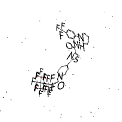 O=C(Nc1cc(C(F)(F)F)ccc1N1CCCC1)c1csc(C2CCN(C(=O)C(F)(F)C(F)(C(F)(F)F)C(F)(F)C(C(F)(F)F)(C(F)(F)F)C(F)(F)F)CC2)n1